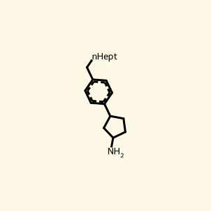 CCCCCCCCc1ccc(C2CCC(N)C2)cc1